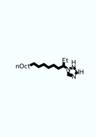 CCCCCCCCCCCCCCC(CC)N1C=NNN1